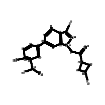 O=C(Cn1nc(F)c2ncc(-c3ccc(F)c(C(F)F)c3)cc21)N1CC(F)C1